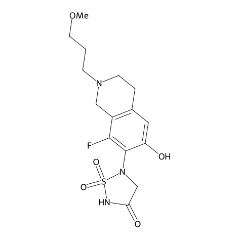 COCCCN1CCc2cc(O)c(N3CC(=O)NS3(=O)=O)c(F)c2C1